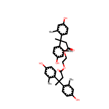 CC(C)(C)c1cc(O)ccc1C(C)(CC(=O)OCCOC(=O)CC(C)(c1ccc(O)cc1C(C)(C)C)c1ccc(O)cc1C(C)(C)C)c1ccc(O)cc1C(C)(C)C